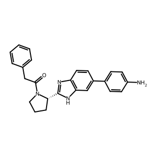 Nc1ccc(-c2ccc3nc([C@@H]4CCCN4C(=O)Cc4ccccc4)[nH]c3c2)cc1